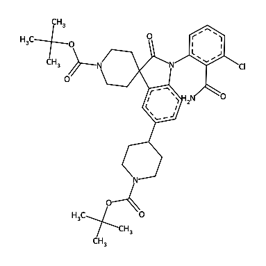 CC(C)(C)OC(=O)N1CCC(c2ccc3c(c2)C2(CCN(C(=O)OC(C)(C)C)CC2)C(=O)N3c2cccc(Cl)c2C(N)=O)CC1